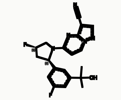 CC(C)(O)c1cc(F)cc([C@H]2C[C@H](F)CN2c2ccn3ncc(C#N)c3n2)c1